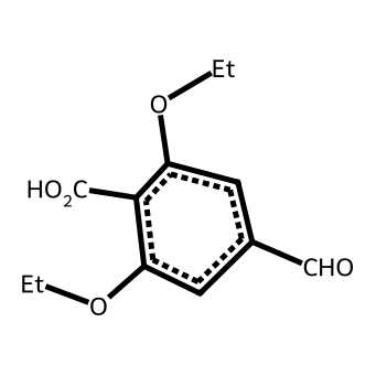 CCOc1cc(C=O)cc(OCC)c1C(=O)O